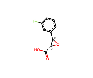 O=C(O)[C@H]1O[C@@H]1c1cccc(F)c1